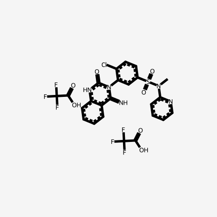 CN(c1ccccn1)S(=O)(=O)c1ccc(Cl)c(-n2c(=O)[nH]c3ccccc3c2=N)c1.O=C(O)C(F)(F)F.O=C(O)C(F)(F)F